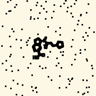 CN(C(=O)CCC1CCCC1)[C@@H]1CCc2ccc(C(=O)O)cc21